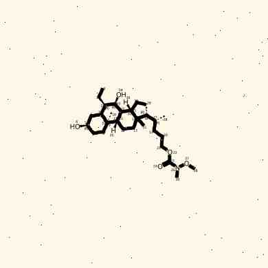 CC[C@@H]1C2C[C@H](O)CC[C@]2(C)[C@H]2CCC3(C)[C@@H]([C@H](C)CCCOC(=O)N(C)OC)CC[C@H]3C2[C@@H]1O